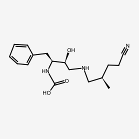 C[C@H](CCC#N)CNC[C@H](O)[C@H](Cc1ccccc1)NC(=O)O